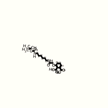 CC(C)(C)OC(=O)NCCCCCCNC(=O)COc1cccc(C(=O)O)c1C(=O)O